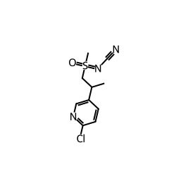 CC(CS(C)(=O)=NC#N)c1ccc(Cl)nc1